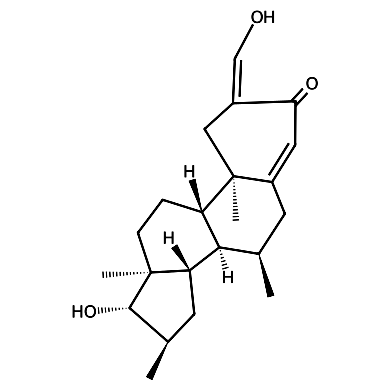 C[C@@H]1CC2=CC(=O)/C(=C\O)C[C@]2(C)[C@H]2CC[C@]3(C)[C@@H](O)[C@H](C)C[C@H]3[C@H]12